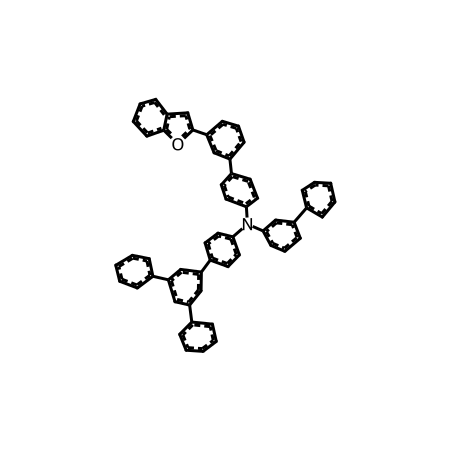 c1ccc(-c2cc(-c3ccccc3)cc(-c3ccc(N(c4ccc(-c5cccc(-c6cc7ccccc7o6)c5)cc4)c4cccc(-c5ccccc5)c4)cc3)c2)cc1